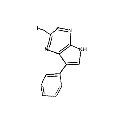 Ic1cnc2[nH]cc(-c3ccccc3)c2n1